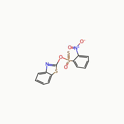 O=[N+]([O-])c1ccccc1S(=O)(=S)Oc1nc2ccccc2s1